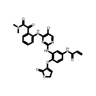 C=CC(=O)Nc1ccc(OC2=CCOC2=O)c(Nc2ncc(Cl)c(Nc3ccccc3C(=O)C(=O)N(C)C)n2)c1